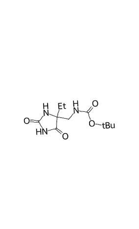 CCC1(CNC(=O)OC(C)(C)C)NC(=O)NC1=O